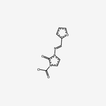 O=C(Cl)n1ccn(/N=C/c2ccco2)c1=O